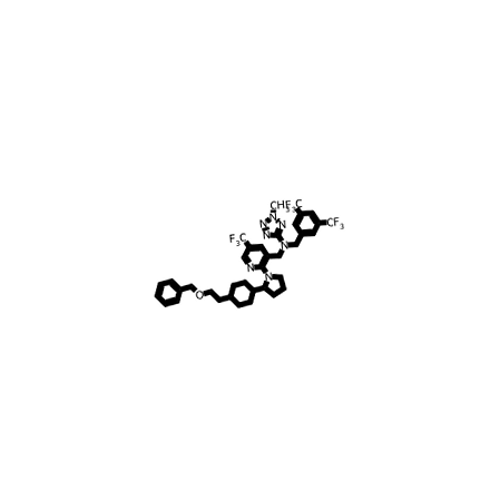 Cn1nnc(N(Cc2cc(C(F)(F)F)cc(C(F)(F)F)c2)Cc2cc(C(F)(F)F)cnc2N2CCCC2C2CCC(CCOCc3ccccc3)CC2)n1